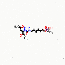 CC(=O)CC(NC(=O)NCCCCCCOP(C)(=O)O)C(C)=O